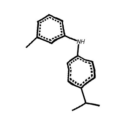 Cc1cccc(Nc2ccc(C(C)C)cc2)c1